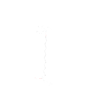 CC(C)(C)[Si](C)(C)OCCCCCCCCCCCC[C@H](O)C(=O)O